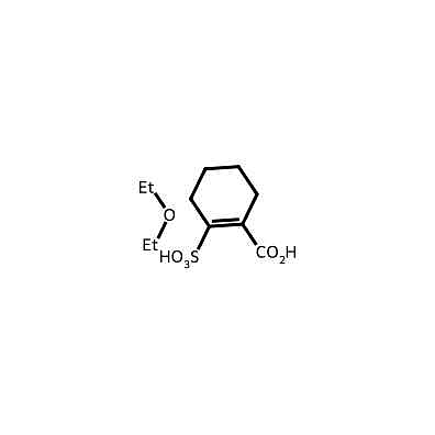 CCOCC.O=C(O)C1=C(S(=O)(=O)O)CCCC1